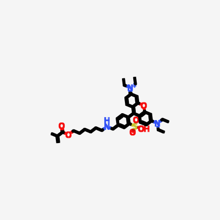 C=C(C)C(=O)OCCCCCCNCc1ccc(-c2c3ccc(=[N+](CC)CC)cc-3oc3cc(N(CC)CC)ccc23)c(S(=O)(=O)O)c1